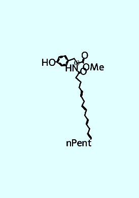 CCCCCC=CCC=CCC=CCC=CCCCC(=O)N[C@@H](Cc1ccc(O)cc1)C(=O)OC